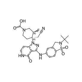 CC(C)(C)N1Cc2cc(Nc3nn([C@@]4(CC#N)CCN(C(=O)O)C[C@H]4F)c4cc[nH]c(=O)c34)ccc2S1(=O)=O